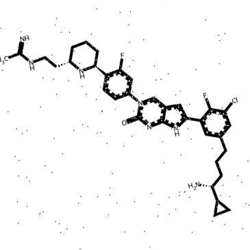 CC(=N)NCC[C@@H]1CCC[C@@H](c2ccc(-n3cc4cc(-c5cc(CCC[C@@H](N)C6CC6)cc(Cl)c5F)[nH]c4nc3=O)cc2F)N1